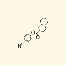 N#Cc1ccc(OC(=O)C2CCC3CCCCC3C2)cc1